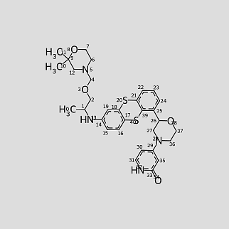 CC(COCN1CCOC(C)(C)C1)Nc1ccc2c(c1)Sc1cccc(C3CN(c4cc[nH]c(=O)c4)CCO3)c1S2